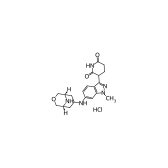 Cl.Cn1nc(C2CCC(=O)NC2=O)c2ccc(NC3C[C@H]4COC[C@@H](C3)N4)cc21